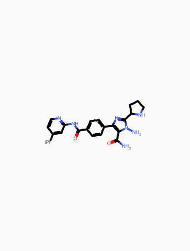 CC(C)c1ccnc(NC(=O)c2ccc(-c3nc(C4CCCN4)n(N)c3C(N)=O)cc2)c1